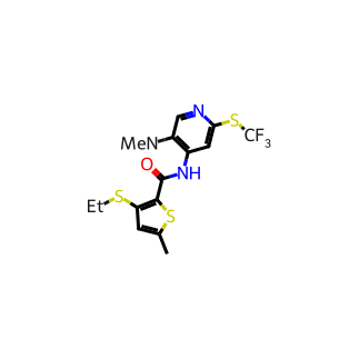 CCSc1cc(C)sc1C(=O)Nc1cc(SC(F)(F)F)ncc1NC